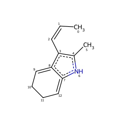 C/C=C\c1c(C)[nH]c2c1=CCCC=2